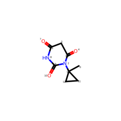 CC1(N2C(=O)CC(=O)NC2=O)CC1